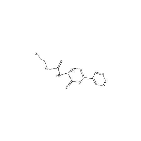 O=C(NCCCl)Nc1ccc(-c2cccnc2)oc1=O